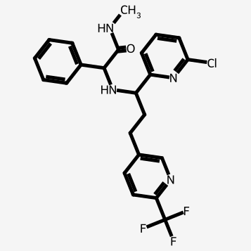 CNC(=O)C(NC(CCc1ccc(C(F)(F)F)nc1)c1cccc(Cl)n1)c1ccccc1